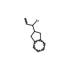 C=CC(CC)C1Cc2ccccc2C1